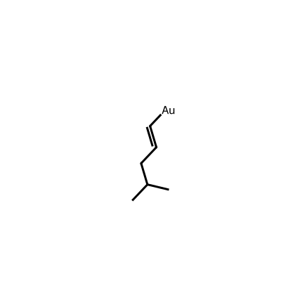 CC(C)CC=[CH][Au]